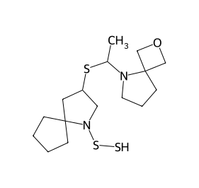 CC(SC1CN(SS)C2(CCCC2)C1)N1CCCC12COC2